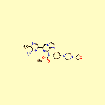 Cc1ncc(-c2cn3ccnc3c(N(C(=O)OC(C)(C)C)c3ccc(N4CCN(C5COC5)CC4)cc3)n2)nc1N